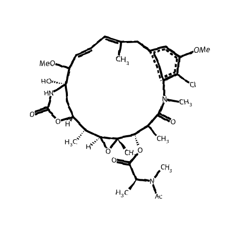 COc1cc2cc(c1Cl)N(C)C(=O)C(C)[C@H](OC(=O)[C@H](C)N(C)C(C)=O)[C@]1(C)O[C@H]1[C@H](C)[C@@H]1C[C@@](O)(NC(=O)O1)C(OC)/C=C/C=C(\C)C2